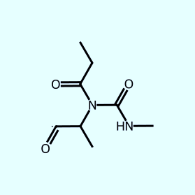 CCC(=O)N(C(=O)NC)C(C)[C]=O